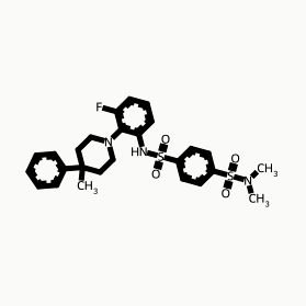 CN(C)S(=O)(=O)c1ccc(S(=O)(=O)Nc2cccc(F)c2N2CCC(C)(c3ccccc3)CC2)cc1